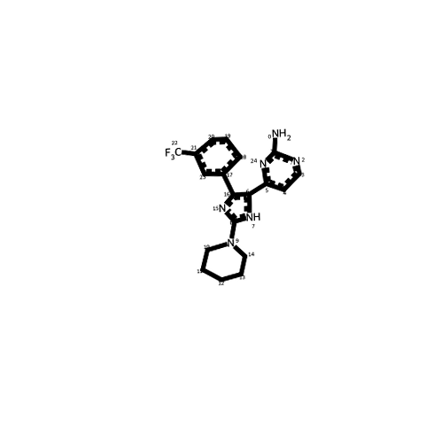 Nc1nccc(-c2[nH]c(N3CC[CH]CC3)nc2-c2cccc(C(F)(F)F)c2)n1